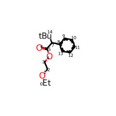 CCOCCOC(=O)C(c1ccccc1)C(C)(C)C